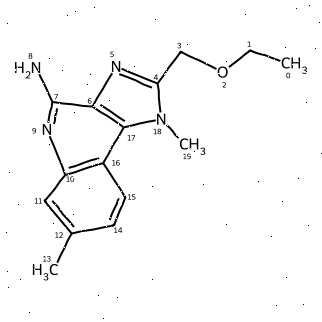 CCOCc1nc2c(N)nc3cc(C)ccc3c2n1C